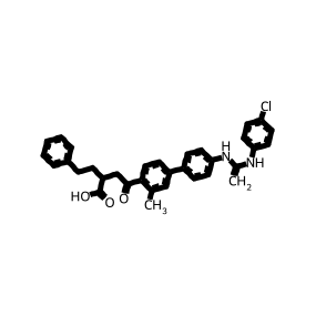 C=C(Nc1ccc(Cl)cc1)Nc1ccc(-c2ccc(C(=O)CC(CCc3ccccc3)C(=O)O)c(C)c2)cc1